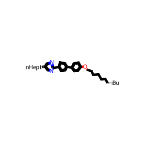 CCCCCCCc1cnc(-c2ccc(-c3ccc(OCCCCCCC[C@@H](C)CC)cc3)cc2)nc1